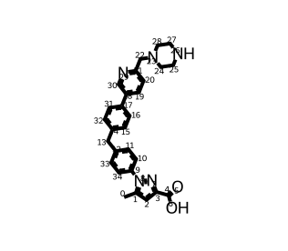 Cc1cc(C(=O)O)nn1-c1ccc(Cc2ccc(-c3ccc(CN4CCNCC4)nc3)cc2)cc1